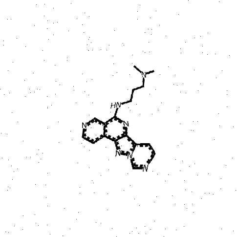 CN(C)CCCNc1nc2c(nn3cnccc23)c2ccncc12